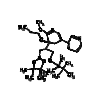 CCCOC1(C(CO[Si](C)(C)C(C)(C)C)CB2OC(C)(C)C(C)(C)O2)CC(c2cccnc2)=CN=C1OC